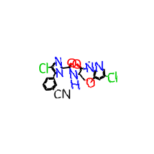 CN1C(=O)[C@@H](NC(=O)c2ncc(Cl)c(-c3cccc(C#N)c3)n2)COc2cc(Cl)cnc21